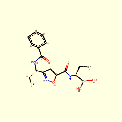 CC(C)C[C@H](NC(=O)C1CC([C@H](CC(C)C)NC(=O)c2ccccc2)=NO1)B(O)O